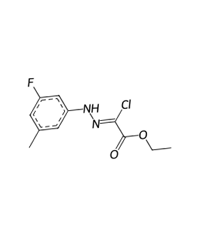 CCOC(=O)/C(Cl)=N/Nc1cc(C)cc(F)c1